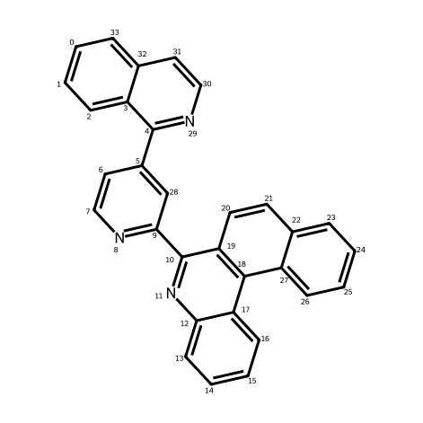 c1ccc2c(-c3ccnc(-c4nc5ccccc5c5c4ccc4ccccc45)c3)nccc2c1